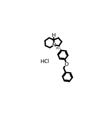 Cl.c1ccc(COc2ccc([C@H]3CC[C@H]4CCCCN43)cc2)cc1